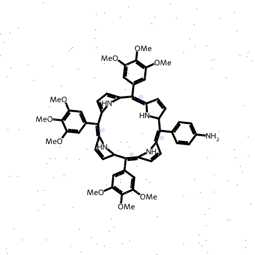 COc1cc(/C2=C3\C=CC(N3)/C(c3ccc(N)cc3)=c3/cc/c([nH]3)=C(\c3cc(OC)c(OC)c(OC)c3)C3C=C/C(=C(\c4cc(OC)c(OC)c(OC)c4)c4ccc2[nH]4)N3)cc(OC)c1OC